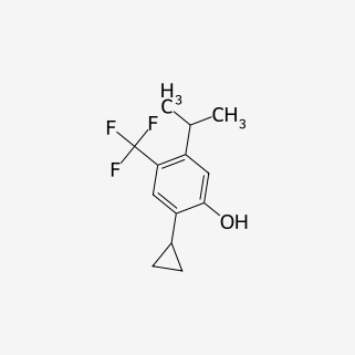 CC(C)c1cc(O)c(C2CC2)cc1C(F)(F)F